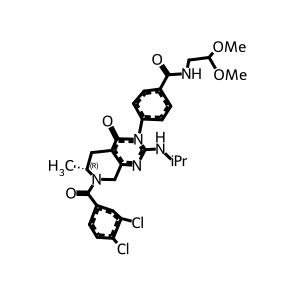 COC(CNC(=O)c1ccc(-n2c(NC(C)C)nc3c(c2=O)C[C@@H](C)N(C(=O)c2ccc(Cl)c(Cl)c2)C3)cc1)OC